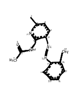 COC(=O)Nc1nc(C)ccc1/N=N/c1ccccc1O